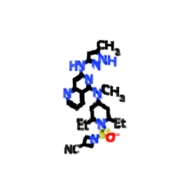 CCC1CC(N(C)c2nc(Nc3cc(C)[nH]n3)cc3ncccc23)CC(CC)N1[S+]([O-])N1CC(C#N)C1